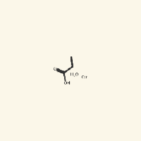 CCC(=O)O.O.[Co]